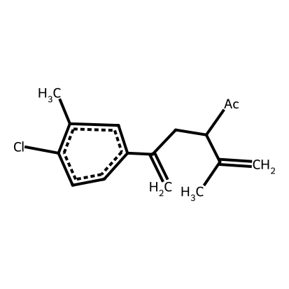 C=C(CC(C(=C)C)C(C)=O)c1ccc(Cl)c(C)c1